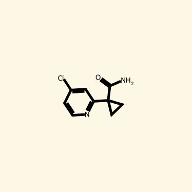 NC(=O)C1(c2cc(Cl)ccn2)CC1